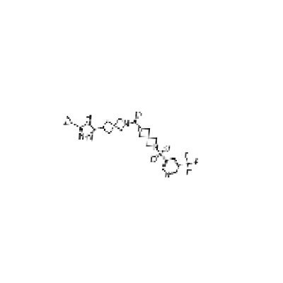 O=C(N1CC2(CC(c3nnc(C4CC4)[nH]3)C2)C1)N1CC2(C1)CN(S(=O)(=O)c1cncc(C(F)(F)F)c1)C2